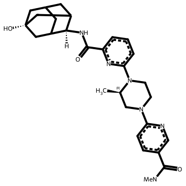 CNC(=O)c1ccc(N2CCN(c3cccc(C(=O)N[C@H]4C5CC6CC4C[C@](O)(C6)C5)n3)[C@H](C)C2)nc1